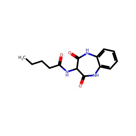 CCCCC(=O)NC1C(=O)Nc2ccccc2NC1=O